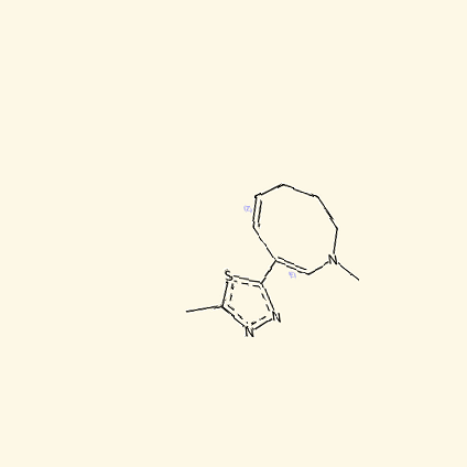 Cc1nnc(C2=C/N(C)CCC/C=C\2)s1